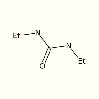 CC[N]C(=O)[N]CC